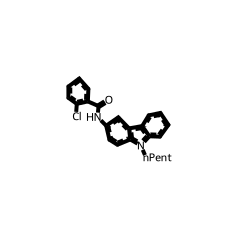 CCCCCn1c2ccccc2c2cc(NC(=O)c3ccccc3Cl)ccc21